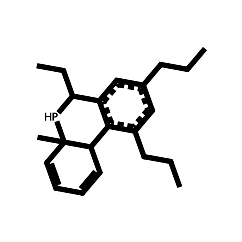 CCCc1cc(CCC)c2c(c1)C(CC)PC1(C)C=CC=CC21